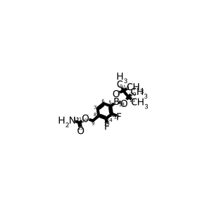 CC1(C)OB(c2ccc(COC(N)=O)c(F)c2F)OC1(C)C